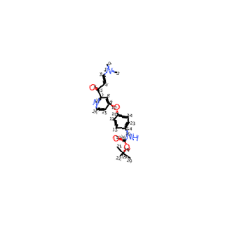 CN(C)/C=C/C(=O)c1cc(Oc2ccc(NC(=O)OC(C)(C)C)cc2)ccn1